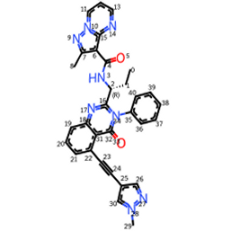 CC[C@@H](NC(=O)c1c(C)nn2cccnc12)c1nc2cccc(C#Cc3cnn(C)c3)c2c(=O)n1-c1ccccc1